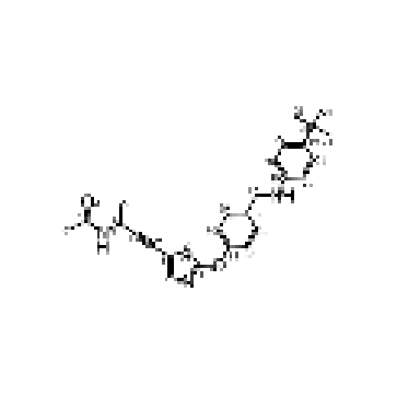 CC(=O)NC(C)C#Cc1cnc(Oc2ccc(CNc3ccc(C(C)(C)C)cc3)cc2)s1